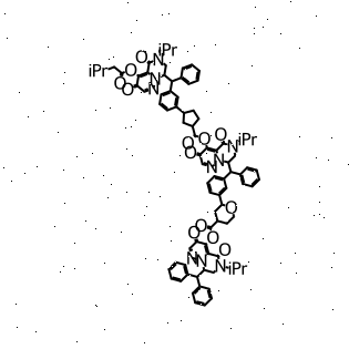 CC(C)CC(=O)Oc1c2n(ncc1=O)C(C(c1ccccc1)c1cccc(C3CCC(C(=O)Oc4c5n(ncc4=O)C(C(c4ccccc4)c4cccc(C6CC(C(=O)Oc7c8n(ncc7=O)C(C(c7ccccc7)c7ccccc7)CN(C(C)C)C8=O)CCO6)c4)CN(C(C)C)C5=O)C3)c1)CN(C(C)C)C2=O